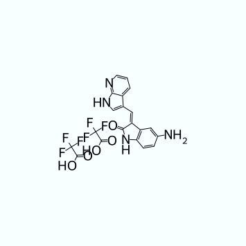 Nc1ccc2c(c1)C(=Cc1c[nH]c3ncccc13)C(=O)N2.O=C(O)C(F)(F)F.O=C(O)C(F)(F)F